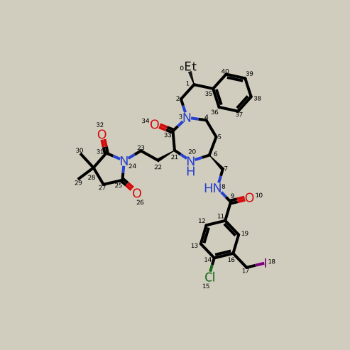 CC[C@H](CN1CC[C@@H](CNC(=O)c2ccc(Cl)c(CI)c2)N[C@@H](CCN2C(=O)CC(C)(C)C2=O)C1=O)c1ccccc1